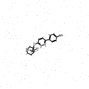 CC(C)c1ccc(-c2ccc(O[C@H]3CN4CCC3CC4)nn2)cc1